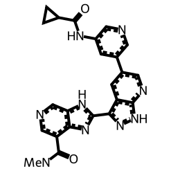 CNC(=O)c1cncc2[nH]c(-c3n[nH]c4ncc(-c5cncc(NC(=O)C6CC6)c5)cc34)nc12